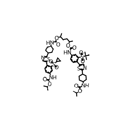 CC(C)OC(=O)Nc1ccc(-c2cnc(C3CCC(NC(=O)OC(C)CCC(C)OC(=O)Nc4ccc(-c5cnc(C6CCC(NC(=O)OC(C)C)CC6)s5)c(S(=O)(=O)C(C)(C)C)c4)CC3)s2)c(S(=O)(=O)C2CC2)c1